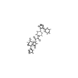 O=C(C(=O)N1CCC(c2nnnn2-c2ccccc2)CC1)c1c[nH]c2c(-n3ccnn3)ncc(F)c12